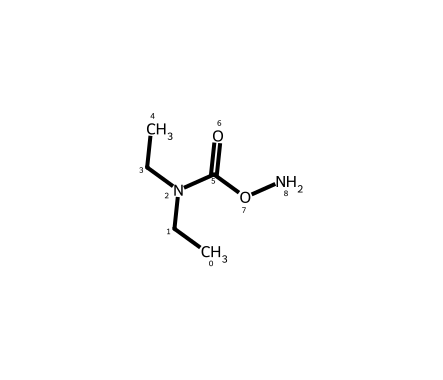 CCN(CC)C(=O)ON